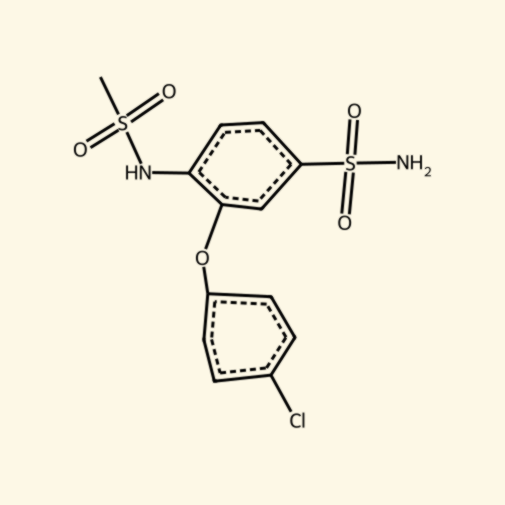 CS(=O)(=O)Nc1ccc(S(N)(=O)=O)cc1Oc1ccc(Cl)cc1